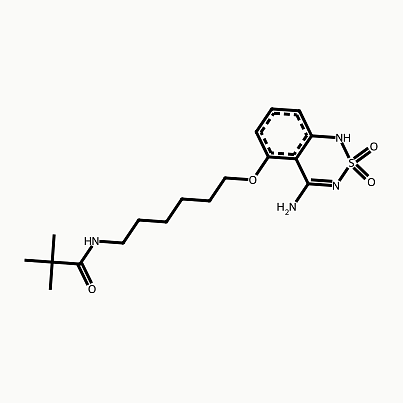 CC(C)(C)C(=O)NCCCCCCOc1cccc2c1C(N)=NS(=O)(=O)N2